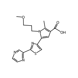 COCCCn1c(-c2csc(-c3cnccn3)n2)cc(C(=O)O)c1C